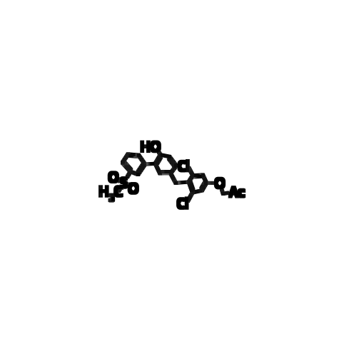 CC(=O)COc1cc(Cl)c(Cc2ccc(O)c(-c3cccc(S(C)(=O)=O)c3)c2)c(Cl)c1